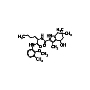 CCCCC(NC(=O)c1[nH]c2c(c1C)C(O)CC(C)(C)C2)C(=O)Nc1cccc(C)c1OC